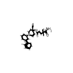 CC(C)(C[CH]C(=O)NC1(C#N)CCN(C2CCCC(c3ccccc3)C2)CC1)C(N)=O